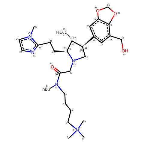 CCCCN(CCCC[N+](C)(C)C)C(=O)CN1C[C@H](c2cc(CO)c3c(c2)OCO3)[C@@H](C(=O)O)[C@@H]1CCc1nccn1C